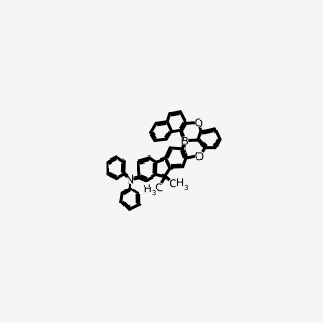 CC1(C)c2cc(N(c3ccccc3)c3ccccc3)ccc2-c2cc3c(cc21)Oc1cccc2c1B3c1c(ccc3ccccc13)O2